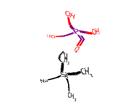 C[Si](C)(C)[Na].O=P(O)(O)O